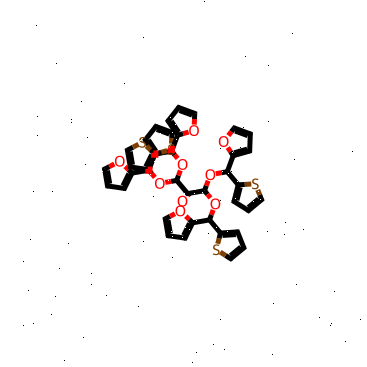 O=C(C(OC(c1ccco1)c1cccs1)OC(c1ccco1)c1cccs1)C(OC(c1ccco1)c1cccs1)OC(c1ccco1)c1cccs1